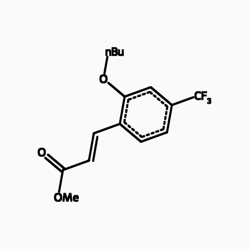 CCCCOc1cc(C(F)(F)F)ccc1C=CC(=O)OC